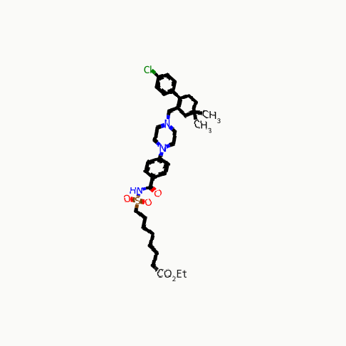 CCOC(=O)CCCCCCCS(=O)(=O)NC(=O)c1ccc(N2CCN(CC3=C(c4ccc(Cl)cc4)CCC(C)(C)C3)CC2)cc1